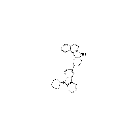 C1=CC2C=CC3=C(C2C=C1)C1CC(c2ccc4c(c2)c2c(n4C4=CCCCC4)CCC=C2)CCC1N3